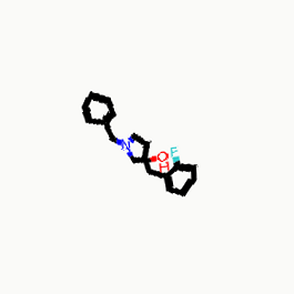 OC1(Cc2ccccc2F)CCN(Cc2ccccc2)C1